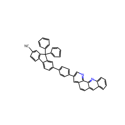 N#Cc1ccc2c(c1)C(c1ccccc1)(c1ccccc1)c1cc(-c3ccc(-c4cnc5c(ccc6cc7ccccc7nc65)c4)cc3)ccc1-2